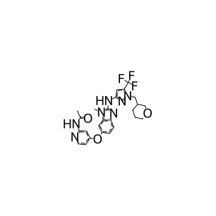 CC(=O)Nc1cc(Oc2ccc3nc(Nc4cc(C(F)(F)F)n(CC5CCCOC5)n4)n(C)c3c2)ccn1